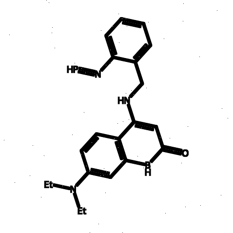 CCN(CC)c1ccc2c(c1)BC(=O)C=C2NCc1ccccc1N=P